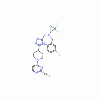 Cc1nccc(N2CCC(c3nnc4n3-c3ccc(Cl)cc3CN(C3CC3(F)F)C4)CC2)n1